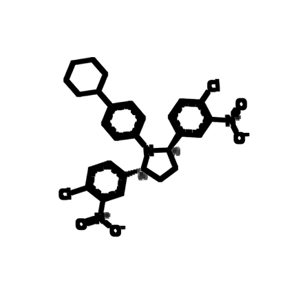 O=[N+]([O-])c1cc([C@H]2CC[C@H](c3ccc(Cl)c([N+](=O)[O-])c3)N2c2ccc(C3CCCCC3)cc2)ccc1Cl